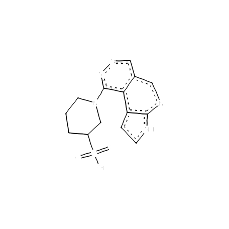 O=S(=O)(O)C1CCCN(c2nncc3cnc4[nH]ccc4c23)C1